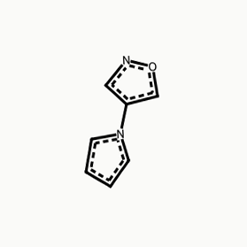 c1ccn(-c2cnoc2)c1